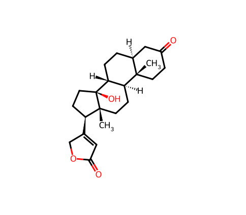 C[C@]12CCC(=O)C[C@@H]1CC[C@@H]1[C@@H]2CC[C@]2(C)[C@@H](C3=CC(=O)OC3)CC[C@]12O